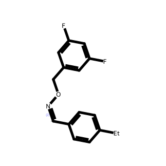 CCc1ccc(/[C]=N\OCc2cc(F)cc(F)c2)cc1